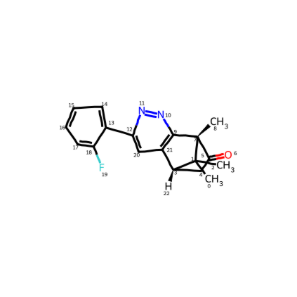 CC1(C)[C@@H]2CC(=O)[C@@]1(C)c1nnc(-c3ccccc3F)cc12